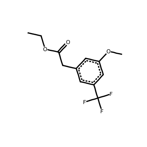 CCOC(=O)Cc1cc(OC)cc(C(F)(F)F)c1